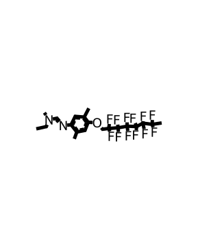 CCN(C)/C=N/c1cc(C)c(OCC(F)(F)C(F)(F)C(F)(F)C(F)(F)C(F)(F)C(C)(F)F)cc1C